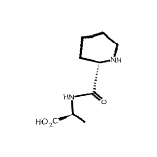 C[C@H](NC(=O)[C@@H]1CCCCN1)C(=O)O